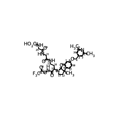 Cc1cc(COc2ccc(C3(C)CCN(C(CCNC(=O)CNC(=O)CNC(=O)O)C(=O)NOC(=O)C(F)(F)F)C3=O)cc2)cc(C)n1